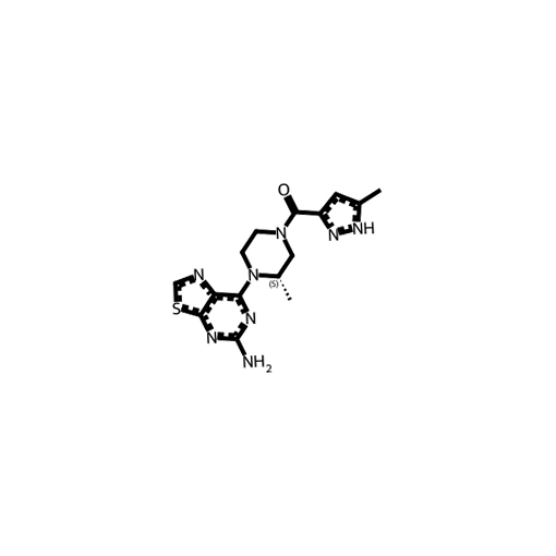 Cc1cc(C(=O)N2CCN(c3nc(N)nc4scnc34)[C@@H](C)C2)n[nH]1